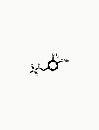 COc1ccc(CNS(C)(=O)=O)cc1N